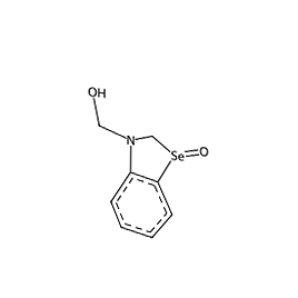 O=[Se]1CN(CO)c2ccccc21